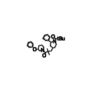 CC(C)(C)C(=O)N1CCC(CC(C)(C)C(=O)N2CCCC(Oc3ccccc3)C2)CC1c1ccccc1